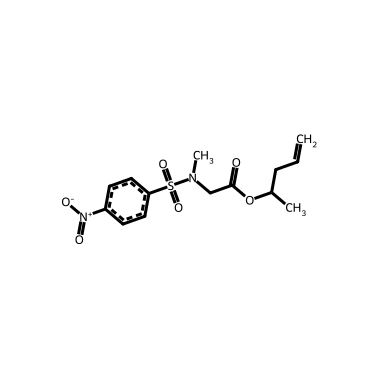 C=CCC(C)OC(=O)CN(C)S(=O)(=O)c1ccc([N+](=O)[O-])cc1